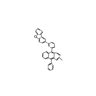 Cc1ccc2c(-c3cccc(-c4ccc5oc6ccccc6c5c4)c3)c3ccccc3c(-c3ccccc3)c2c1